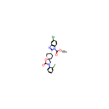 CC(C)(C)OC(=O)n1c2ccc(Br)cc2nc1[C@H]1CC[C@]2(CC1)CN(c1ccccc1F)C(=O)O2